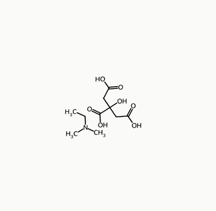 CCN(C)C.O=C(O)CC(O)(CC(=O)O)C(=O)O